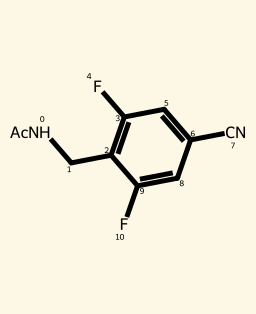 CC(=O)NCc1c(F)cc(C#N)cc1F